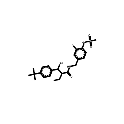 CCC(C(=O)NCc1ccc(NS(C)(=O)=O)c(F)c1)C(S)c1ccc(C(C)(C)C)cc1